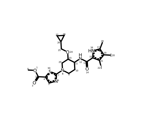 COC(=O)c1cnc(N2CCC(NC(=O)c3[nH]c(C)c(I)c3I)C(OCC3CC3)C2)s1